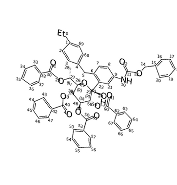 CCc1ccc(Cc2ccc(NC(=O)OCc3ccccc3)cc2[C@@]2(O)O[C@H]([C@@H](C)OC(=O)c3ccccc3)[C@@H](OC(=O)c3ccccc3)[C@H](OC(=O)c3ccccc3)[C@H]2OC(=O)c2ccccc2)cc1